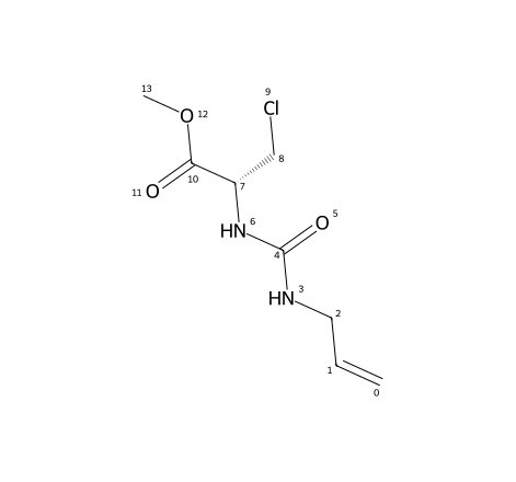 C=CCNC(=O)N[C@@H](CCl)C(=O)OC